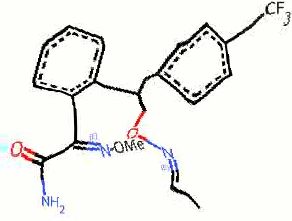 C/C=N/OC(c1ccc(C(F)(F)F)cc1)c1ccccc1/C(=N\OC)C(N)=O